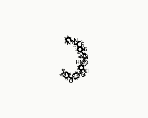 Cc1nn(-c2ccccn2)cc1-c1ccc(-c2cnc(C(=O)Nc3ccc(C(=O)N4CCN(C(=O)C5CC[N+](C)(C)CC5)CC4)c(Cl)c3)n2C)c(F)c1F